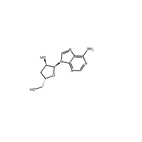 Nc1ncnc2c1ncn2[C@H]1O[C@H](CO)C[C@H]1O